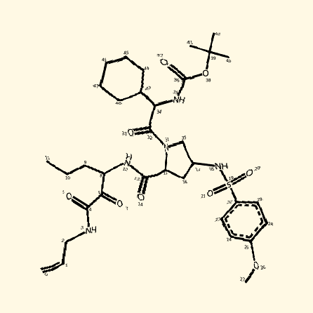 C=CCNC(=O)C(=O)C(CCC)NC(=O)C1CC(NS(=O)(=O)c2ccc(OC)cc2)CN1C(=O)C(NC(=O)OC(C)(C)C)C1CCCCC1